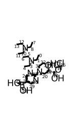 CCN(CC)CC.CCN(CC)CC.Cl.Cl.O=C(O)[C@@H]1CN(c2ncc(B(O)O)cn2)CCO1